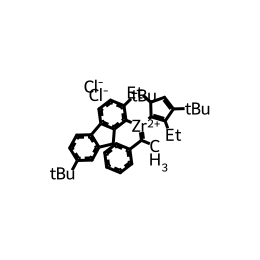 CCC1=[C](/[Zr+2](=[C](\C)c2ccccc2)[c]2c(C(C)(C)C)ccc3c2Cc2cc(C(C)(C)C)ccc2-3)C(CC)C=C1C(C)(C)C.[Cl-].[Cl-]